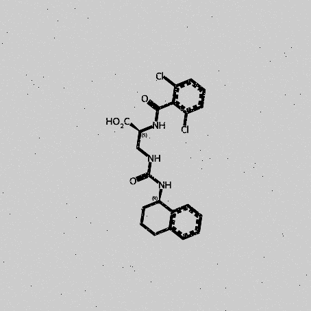 O=C(NC[C@H](NC(=O)c1c(Cl)cccc1Cl)C(=O)O)N[C@@H]1CCCc2ccccc21